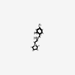 Fc1ccc(CNCCN2CCCC2)c(F)c1